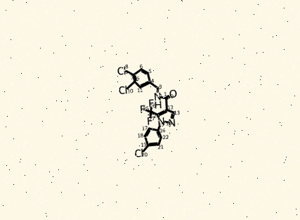 O=C(NCc1ccc(Cl)c(Cl)c1)c1cnn(-c2ccc(Cl)cc2)c1C(F)(F)F